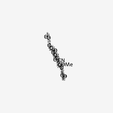 C=CC(=O)OCCCCOc1ccc(C(=O)Oc2ccc(OC(=O)/C(C#N)=C/c3ccc(OCCCCOC(=O)C=C)c(OC)c3)cc2)cc1